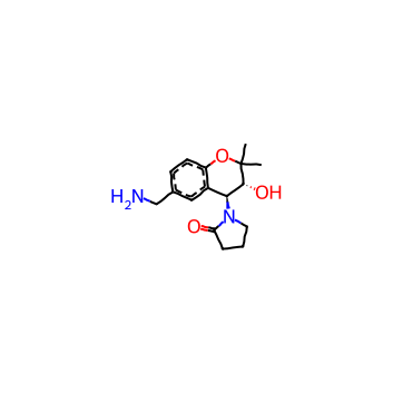 CC1(C)Oc2ccc(CN)cc2[C@H](N2CCCC2=O)[C@H]1O